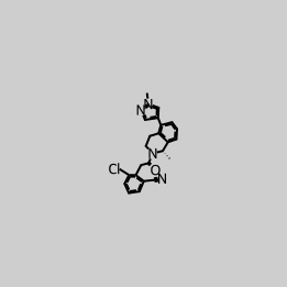 C[C@H]1c2cccc(-c3cnn(C)c3)c2CCN1C(=O)Cc1c(Cl)cccc1C#N